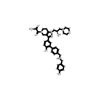 NC(=O)C(=O)N1CCc2c(c(-c3ccc(Cl)c(-c4ccc(CNCc5ccc(Cl)cc5)cc4)c3)nn2C[C@H](O)CN2CCOCC2)C1